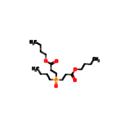 CCCCOC(=O)CCP(=O)(CCCC)CCC(=O)OCCCC